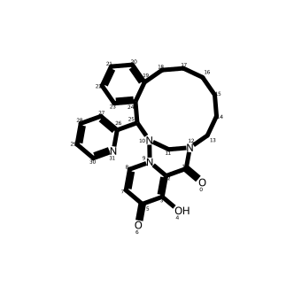 O=C1c2c(O)c(=O)ccn2N2CN1CCCCCCc1ccccc1C2c1ccccn1